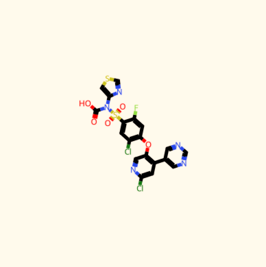 O=C(O)N(c1cscn1)S(=O)(=O)c1cc(Cl)c(Oc2cnc(Cl)cc2-c2cncnc2)cc1F